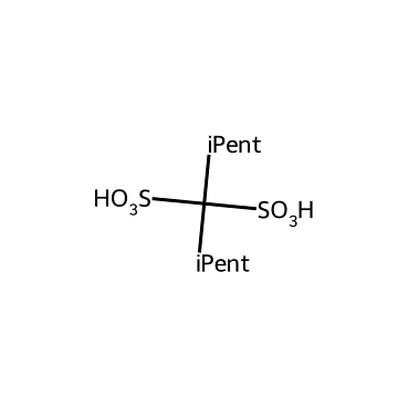 CCCC(C)C(C(C)CCC)(S(=O)(=O)O)S(=O)(=O)O